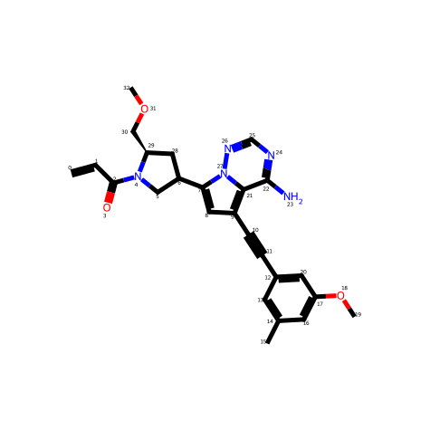 C=CC(=O)N1CC(c2cc(C#Cc3cc(C)cc(OC)c3)c3c(N)ncnn23)C[C@@H]1COC